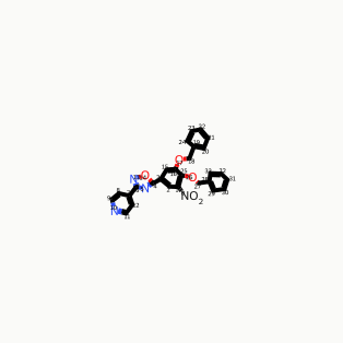 O=[N+]([O-])c1cc(-c2nc(-c3ccncc3)no2)cc(OCc2ccccc2)c1OCc1ccccc1